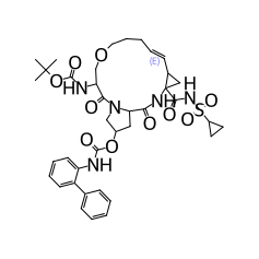 CC(C)(C)OC(=O)NC1COCCC/C=C/C2CC2(C(=O)NS(=O)(=O)C2CC2)NC(=O)C2CC(OC(=O)Nc3ccccc3-c3ccccc3)CN2C1=O